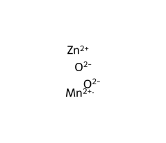 [Mn+2].[O-2].[O-2].[Zn+2]